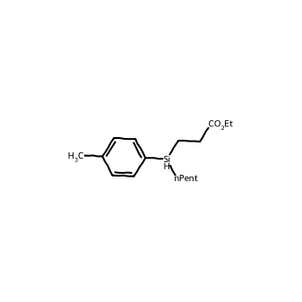 CCCCC[SiH](CCC(=O)OCC)c1ccc(C)cc1